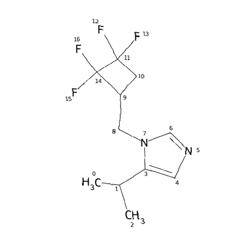 CC(C)c1cncn1CC1CC(F)(F)C1(F)F